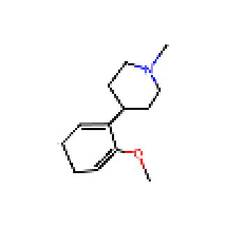 COC1=CC[CH]C=C1C1CCN(C)CC1